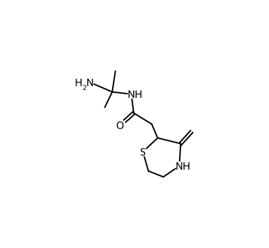 C=C1NCCSC1CC(=O)NC(C)(C)N